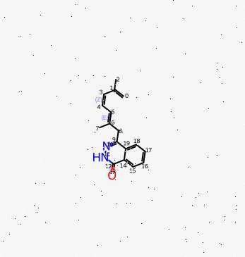 C=C(C)/C=C\C=C(/C)Cc1n[nH]c(=O)c2ccccc12